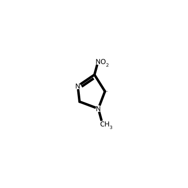 CN1[CH]C([N+](=O)[O-])=NC1